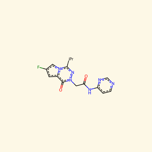 CC(C)c1nn(CC(=O)Nc2ccncn2)c(=O)c2cc(F)cn12